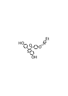 CCC1CN(CCOc2ccc(C(=O)c3c(-c4ccc(O)cc4)sc4cc(O)ccc34)cc2)C1